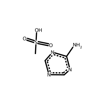 CS(=O)(=O)O.Nc1ncncn1